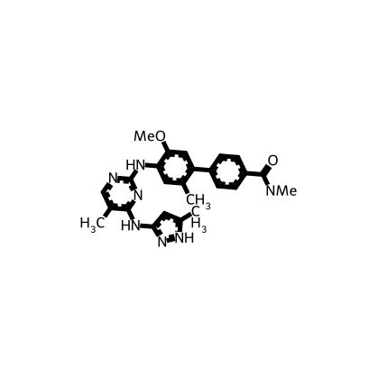 CNC(=O)c1ccc(-c2cc(OC)c(Nc3ncc(C)c(Nc4cc(C)[nH]n4)n3)cc2C)cc1